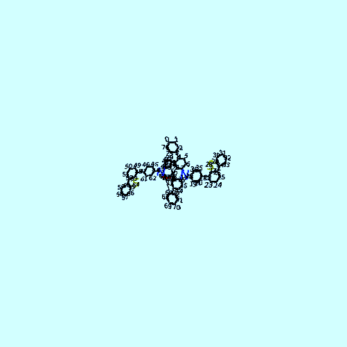 c1ccc(-c2ccc3c(c2)C2(c4ccccc4N3c3ccc(-c4cccc5c4sc4ccccc45)cc3)c3ccccc3N(c3ccc(-c4cccc5c4sc4ccccc45)cc3)c3ccc(-c4ccccc4)cc32)cc1